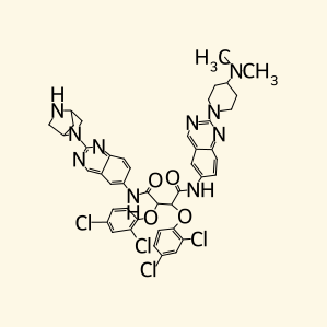 CN(C)C1CCN(c2ncc3cc(NC(=O)C(Oc4ccc(Cl)cc4Cl)C(Oc4ccc(Cl)cc4Cl)C(=O)Nc4ccc5nc(N6CC7CC6CN7)ncc5c4)ccc3n2)CC1